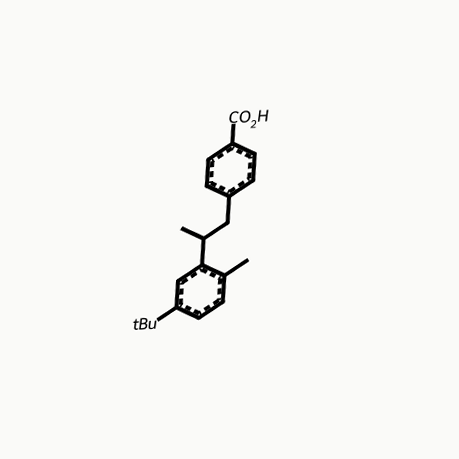 Cc1ccc(C(C)(C)C)cc1C(C)Cc1ccc(C(=O)O)cc1